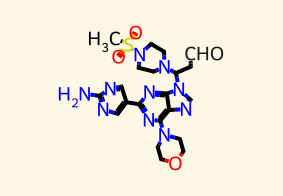 CS(=O)(=O)N1CCN(C(CC=O)n2cnc3c(N4CCOCC4)nc(-c4cnc(N)nc4)nc32)CC1